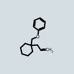 C=CCC1(COc2ccccc2)CCCCC1